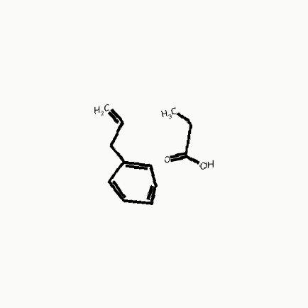 C=CCc1ccccc1.CCC(=O)O